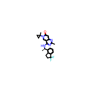 Cc1nc(N[C@H](C)c2cccc3c2CCC3(F)F)c2cn(C3(C)CC3)c(=O)cc2n1